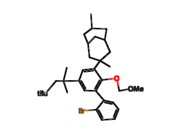 COCOc1c(-c2ccccc2Br)cc(C(C)(C)CC(C)(C)C)cc1C1(C)CC2CC(C)CC(C2)C1